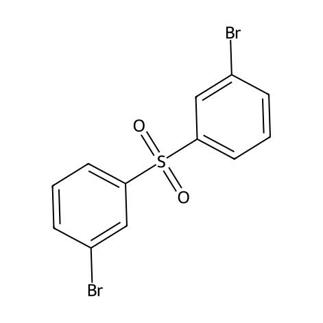 O=S(=O)(c1cccc(Br)c1)c1cccc(Br)c1